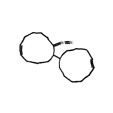 [N-]=[N+]=C1CCCCC=CCCCC1C1CCCC=CCCCCC1